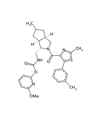 COc1cccc(OC(=O)NC[C@@H]2[C@H]3CC(C)C[C@H]3CN2C(=O)c2nc(C)sc2-c2cccc(C)c2)n1